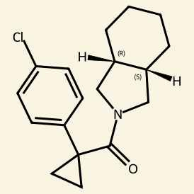 O=C(N1C[C@H]2CCCC[C@H]2C1)C1(c2ccc(Cl)cc2)CC1